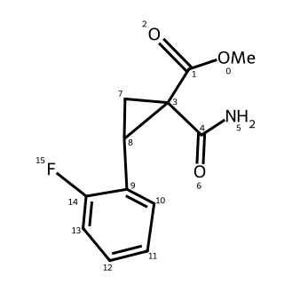 COC(=O)C1(C(N)=O)CC1c1ccccc1F